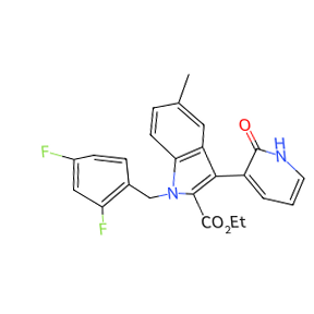 CCOC(=O)c1c(-c2ccc[nH]c2=O)c2cc(C)ccc2n1Cc1ccc(F)cc1F